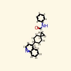 O=C(Nc1ccccc1)[C@@H]1CC12CCC(c1ccnc3ccccc13)CC2